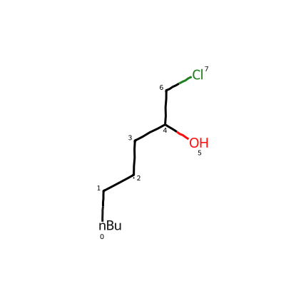 CCCCC[CH]CC(O)CCl